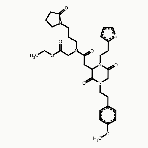 CCOC(=O)CN(CCCN1CCCC1=O)C(=O)CC1C(=O)N(CCc2ccc(OC)cc2)CC(=O)N1CCc1cccs1